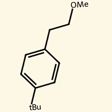 COCCc1ccc(C(C)(C)C)cc1